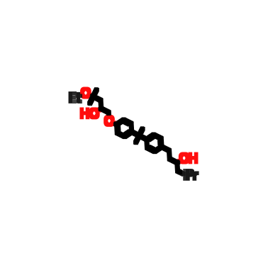 CCOC(C)(C)CC(O)COc1ccc(C(C)(C)c2ccc(CCC(O)CC(C)C)cc2)cc1